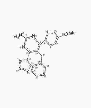 COc1ccc(-c2nc(N)nc(-c3ccsc3)c2Cc2ccccc2)cc1